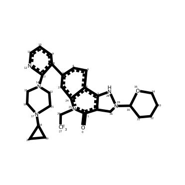 O=c1c2c(c3ccc(-c4cccnc4N4CCN(C5CC5)CC4)cc3n1CC(F)(F)F)NN(C1CCCCO1)C2